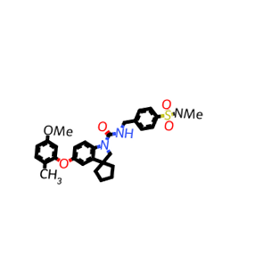 CNS(=O)(=O)c1ccc(CNC(=O)N2CC3(CCCC3)c3cc(Oc4cc(OC)ccc4C)ccc32)cc1